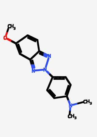 COc1ccc2nn(-c3ccc(N(C)C)cc3)nc2c1